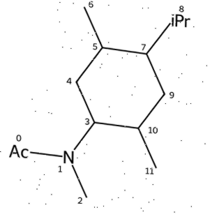 CC(=O)N(C)C1CC(C)C(C(C)C)CC1C